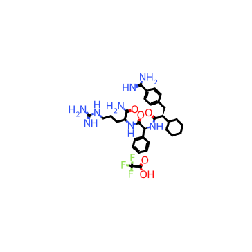 N=C(N)NCCCC(NC(=O)[C@@H](NC(=O)[C@@H](Cc1ccc(C(=N)N)cc1)C1CCCCC1)c1ccccc1)C(N)=O.O=C(O)C(F)(F)F